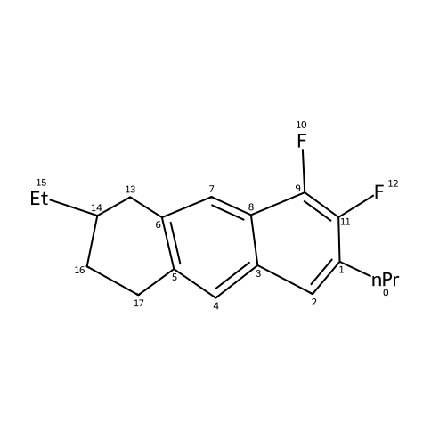 CCCc1cc2cc3c(cc2c(F)c1F)CC(CC)CC3